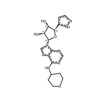 O[C@@H]1[C@H](O)[C@H](n2cnc3c(NC4CCOCC4)ncnc32)O[C@@H]1c1ccn[nH]1